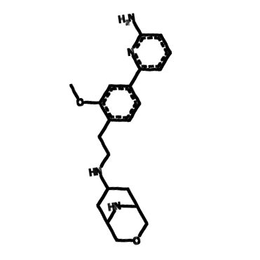 COc1cc(-c2cccc(N)n2)ccc1CCNC1CC2COCC(C1)N2